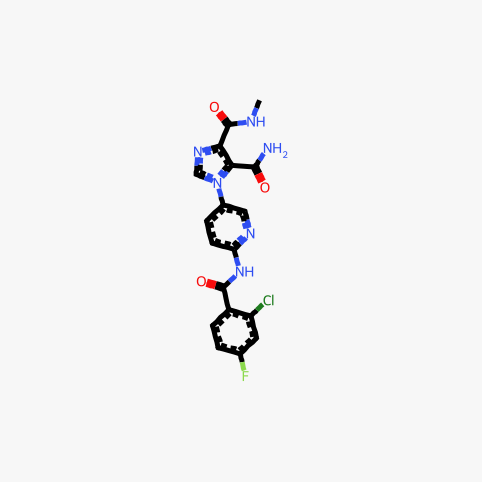 CNC(=O)c1ncn(-c2ccc(NC(=O)c3ccc(F)cc3Cl)nc2)c1C(N)=O